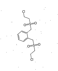 O=S(=O)(CCCl)Cc1ccccc1CS(=O)(=O)CCCl